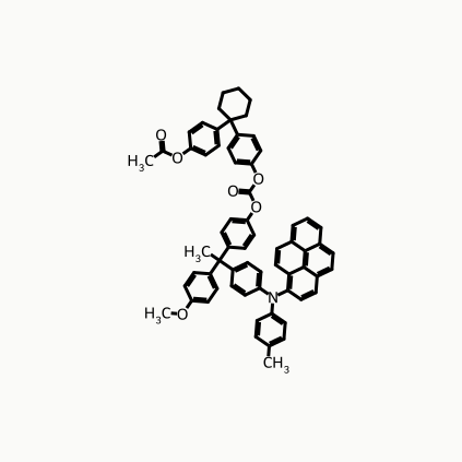 COc1ccc(C(C)(c2ccc(OC(=O)Oc3ccc(C4(c5ccc(OC(C)=O)cc5)CCCCC4)cc3)cc2)c2ccc(N(c3ccc(C)cc3)c3ccc4ccc5cccc6ccc3c4c56)cc2)cc1